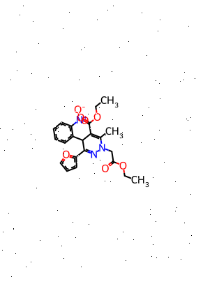 CCOC(=O)CN1N=C(c2ccco2)C(c2ccccc2[N+](=O)[O-])C(C(=O)OCC)=C1C